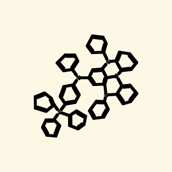 c1ccc(N(c2ccc(S(c3ccccc3)(c3ccccc3)c3ccccc3)cc2)c2cc3c4c(c2)N(c2ccccc2)c2ccccc2B4c2ccccc2N3c2ccccc2)cc1